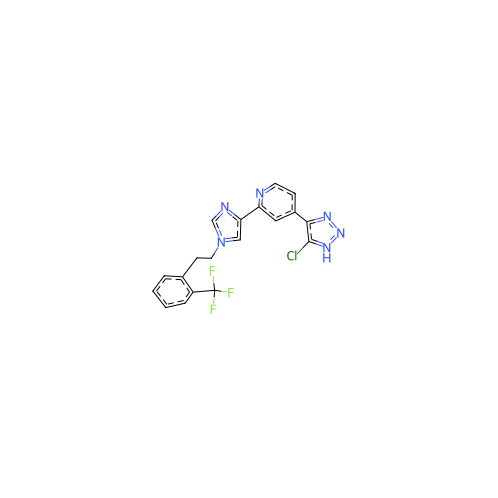 FC(F)(F)c1ccccc1CCn1cnc(-c2cc(-c3nn[nH]c3Cl)ccn2)c1